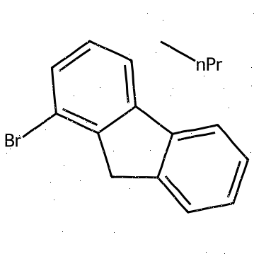 Brc1cccc2c1Cc1ccccc1-2.CCCC